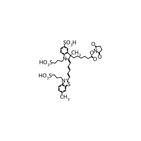 Cc1ccc2c(c1)sc(/C=C/C=C/C=C1\N(CCCS(=O)(=O)O)c3ccc(S(=O)(=O)O)cc3C1(C)CCCCCC(=O)ON1C(=O)CCC1=O)[n+]2CCCS(=O)(=O)O